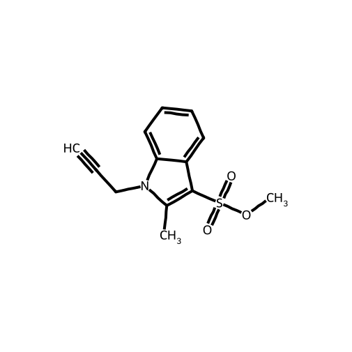 C#CCn1c(C)c(S(=O)(=O)OC)c2ccccc21